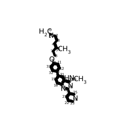 C=N/C=C\C=C(/C)CCOc1ccc(-c2ccc3nc(-c4cccnc4)nc(NC)c3c2)cc1